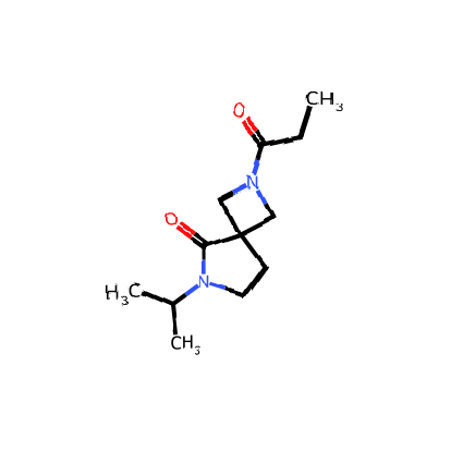 CCC(=O)N1CC2(CCN(C(C)C)C2=O)C1